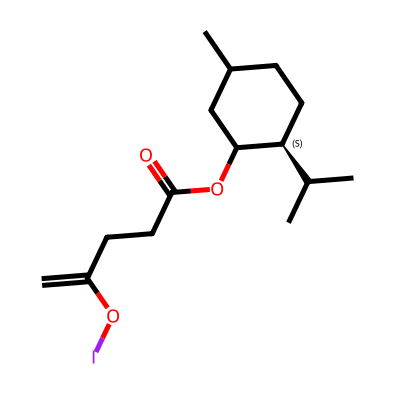 C=C(CCC(=O)OC1CC(C)CC[C@H]1C(C)C)OI